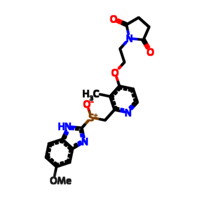 COc1ccc2[nH]c([S+]([O-])Cc3nccc(OCCN4C(=O)CCC4=O)c3C)nc2c1